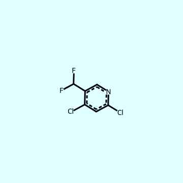 FC(F)c1cnc(Cl)cc1Cl